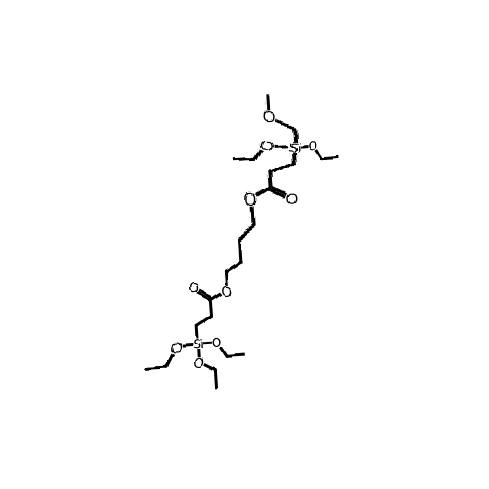 CCO[Si](CCC(=O)OCCCCOC(=O)CC[Si](OCC)(OCC)OCC)(COC)OCC